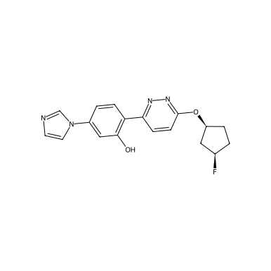 Oc1cc(-n2ccnc2)ccc1-c1ccc(O[C@H]2CC[C@@H](F)C2)nn1